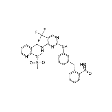 CN(c1ncccc1CNc1nc(Nc2cccc(Cc3ccccc3[PH](=O)O)c2)ncc1C(F)(F)F)S(C)(=O)=O